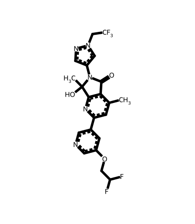 Cc1cc(-c2cncc(OCC(F)F)c2)nc2c1C(=O)N(c1cnn(CC(F)(F)F)c1)C2(C)O